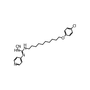 N#CN/C(=N\c1ccncc1)NCCCCCCCCCCOc1ccc(Cl)cc1